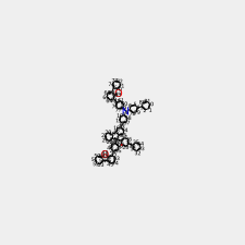 c1ccc(-c2ccc(N(c3ccc(-c4ccc5c(c4)-c4ccccc4C5(c4ccc(-c5ccccc5)cc4)c4ccc(-c5cccc6c5oc5ccccc56)cc4)cc3)c3ccc(-c4cccc5c4oc4ccccc45)cc3)cc2)cc1